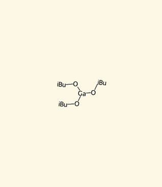 CCC(C)[O][Ga]([O]C(C)CC)[O]C(C)CC